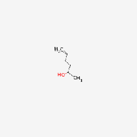 C=C[CH]CC(C)O